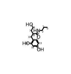 CCCNC(=O)C(CCO)Cc1ccc(O)cc1O